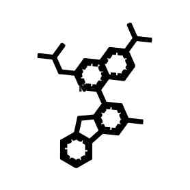 Cc1cc2c(c(-c3nc(CC(C)C)cc4cc(C(C)C)ccc34)c1)Cc1ccccc1-2